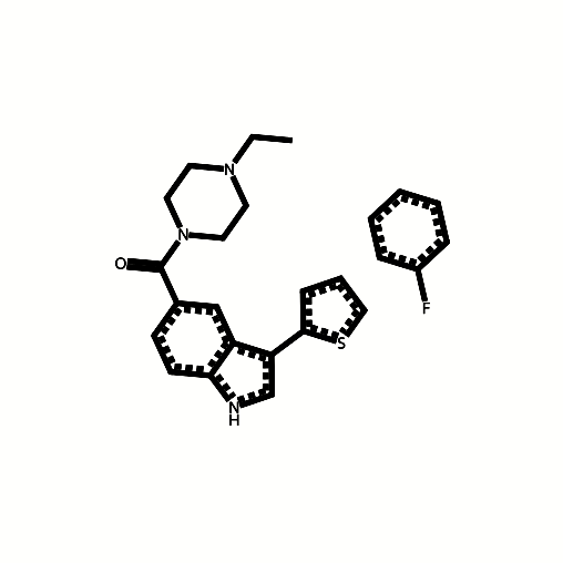 CCN1CCN(C(=O)c2ccc3[nH]cc(-c4cccs4)c3c2)CC1.Fc1ccccc1